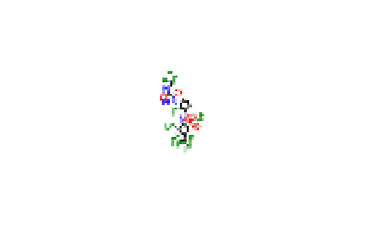 CN(CC(F)(F)F)C(=O)C(=O)Nc1cccc(C(=O)Nc2c(Br)cc(C(F)(C(F)(F)F)C(F)(F)F)cc2S(=O)(=O)C(F)(F)F)c1F